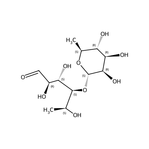 C[C@H](O)[C@H](O[C@@H]1O[C@@H](C)[C@H](O)[C@@H](O)[C@H]1O)[C@@H](O)[C@@H](O)C=O